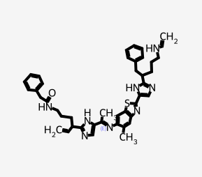 C=CNCCCC(Cc1ccccc1)c1ncc(-c2nc3cc(C)c(/N=C(\C)c4cnc(C(C=C)CCCNC(=O)Cc5ccccc5)[nH]4)cc3s2)[nH]1